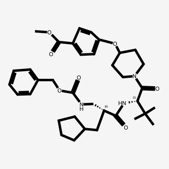 COC(=O)c1ccc(OC2CCN(C(=O)[C@@H](NC(=O)[C@@H](CNC(=O)OCc3ccccc3)CC3CCCC3)C(C)(C)C)CC2)cc1